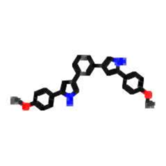 CC(C)Oc1ccc(-c2cc(-c3cccc(-c4c[nH]c(-c5ccc(OC(C)C)cc5)c4)c3)c[nH]2)cc1